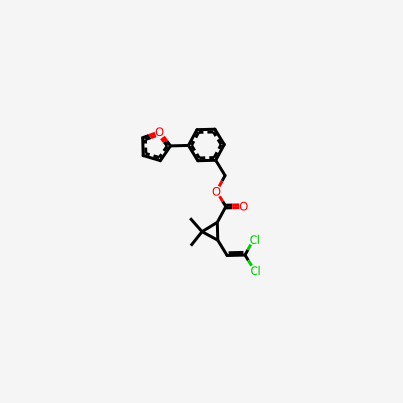 CC1(C)C(C=C(Cl)Cl)C1C(=O)OCc1cccc(-c2ccco2)c1